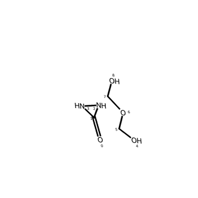 O=C1NN1.OCOCO